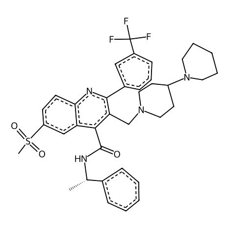 C[C@H](NC(=O)c1c(CN2CCC(N3CCCCC3)CC2)c(-c2cccc(C(F)(F)F)c2)nc2ccc(S(C)(=O)=O)cc12)c1ccccc1